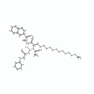 NCCCCCCCCCCCCC[C@@H](CC(N)=O)C(=O)[C@H](CCCC(=O)OCc1ccccc1)NC(=O)c1ccc2ccccc2n1